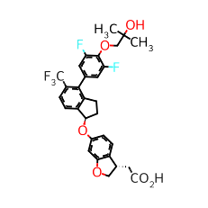 CC(C)(O)COc1c(F)cc(-c2c(C(F)(F)F)ccc3c2CC[C@H]3Oc2ccc3c(c2)OC[C@H]3CC(=O)O)cc1F